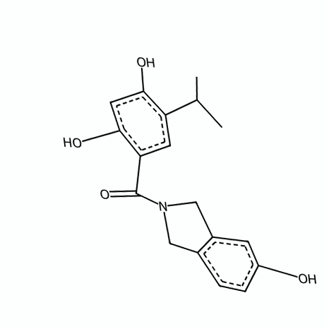 CC(C)c1cc(C(=O)N2Cc3ccc(O)cc3C2)c(O)cc1O